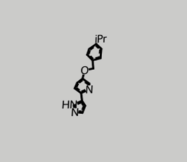 CC(C)c1ccc(COc2ccc(-c3ccn[nH]3)nc2)cc1